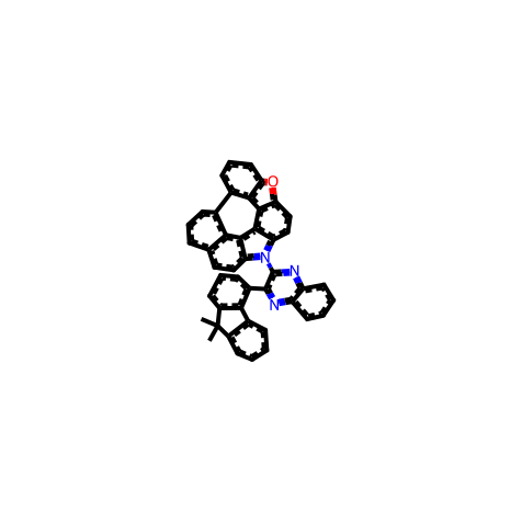 CC1(C)c2ccccc2-c2c(-c3nc4ccccc4nc3-n3c4ccc5cccc6c5c4c4c5c(ccc43)oc3cccc-6c35)cccc21